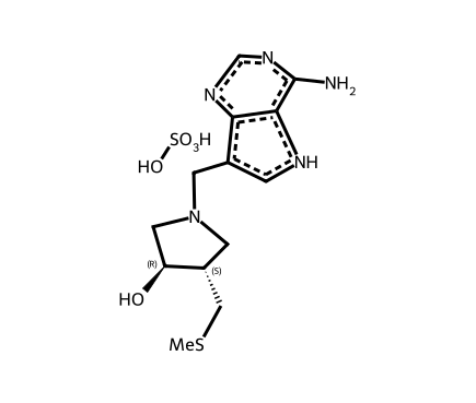 CSC[C@H]1CN(Cc2c[nH]c3c(N)ncnc23)C[C@@H]1O.O=S(=O)(O)O